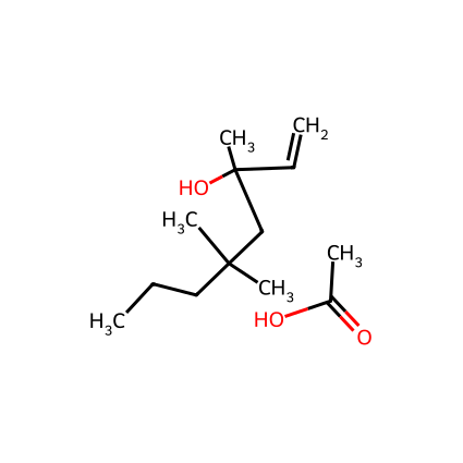 C=CC(C)(O)CC(C)(C)CCC.CC(=O)O